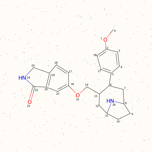 COc1ccc(C2CC3CCC(CC2COc2ccc4c(c2)C(=O)NC4)N3)cc1